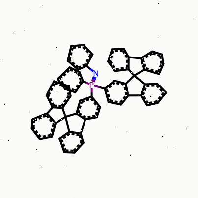 c1ccc(N=P(c2ccccc2)(c2ccc3c(c2)C2(c4ccccc4-c4ccccc42)c2ccccc2-3)c2ccc3c(c2)C2(c4ccccc4-c4ccccc42)c2ccccc2-3)cc1